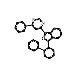 c1ccc(-c2cc(-c3oc(-c4ccccc4-c4ccccc4)c4ccccc34)ncn2)cc1